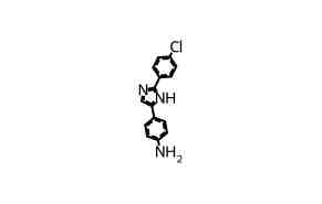 Nc1ccc(-c2cnc(-c3ccc(Cl)cc3)[nH]2)cc1